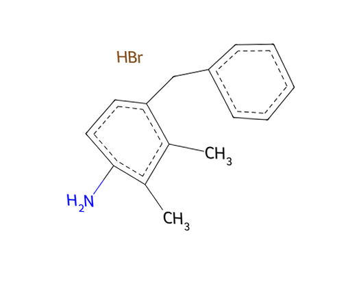 Br.Cc1c(N)ccc(Cc2ccccc2)c1C